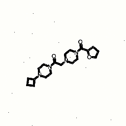 O=C(CN1CCN(C(=O)C2CCCO2)CC1)N1CCN(C2CCC2)CC1